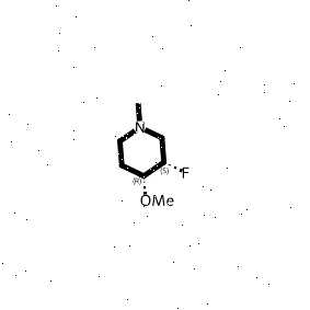 CO[C@@H]1CCN(C)C[C@@H]1F